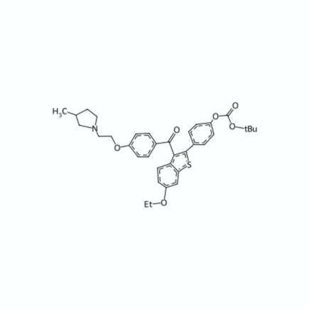 CCOc1ccc2c(C(=O)c3ccc(OCCN4CCC(C)C4)cc3)c(-c3ccc(OC(=O)OC(C)(C)C)cc3)sc2c1